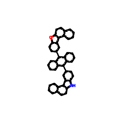 c1ccc2c(c1)ccc1[nH]c3ccc(-c4c5ccccc5c(-c5ccc6oc7ccc8ccccc8c7c6c5)c5ccccc45)cc3c12